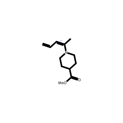 C=C/C=C(/C)N1CCC(C(=O)OC)CC1